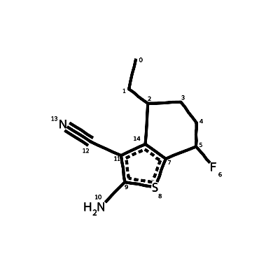 CCC1CCC(F)c2sc(N)c(C#N)c21